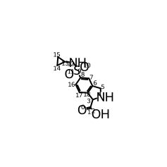 O=C(O)C1NCc2cc(S(=O)(=O)NC3CC3)ccc21